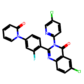 O=c1ccccn1-c1ccc(-c2nc3ccc(Cl)cc3c(=O)n2-c2ccc(Cl)cn2)c(F)c1